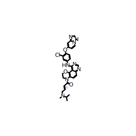 CC(C)N(C)C/C=C/C(=O)N1CCOc2c1ccc1ncnc(Nc3ccc(Oc4ccn5ncnc5c4)c(Cl)c3)c21